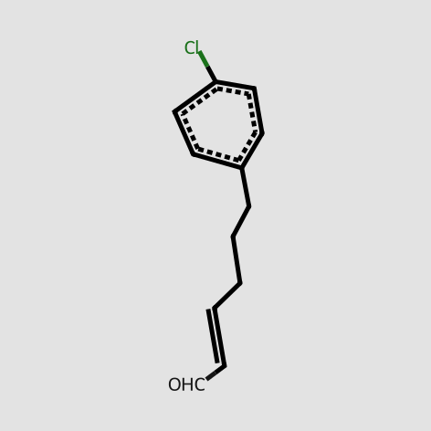 O=CC=CCCCc1ccc(Cl)cc1